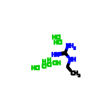 CCNC(=N)N.Cl.Cl.Cl.Cl.Cl.Cl